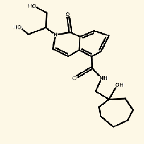 O=C(NCC1(O)CCCCCC1)c1cccc2c(=O)n(C(CO)CO)ccc12